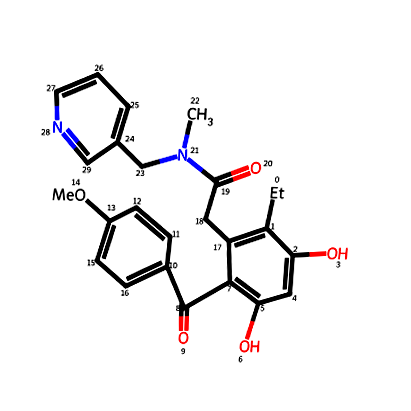 CCc1c(O)cc(O)c(C(=O)c2ccc(OC)cc2)c1CC(=O)N(C)Cc1cccnc1